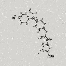 CC(C)(C)c1cc(NC(=O)Cc2ccc(-n3cnc4cc(Br)ccc43)cn2)on1